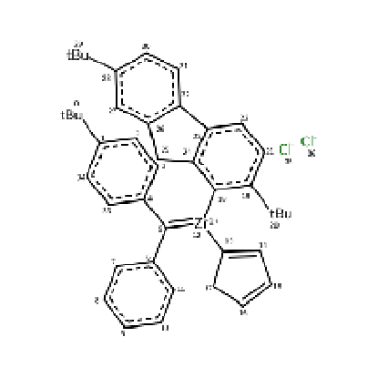 CC(C)(C)c1ccc(/[C](c2ccccc2)=[Zr+2](/[C]2=CC=CC2)[c]2c(C(C)(C)C)ccc3c2Cc2cc(C(C)(C)C)ccc2-3)cc1.[Cl-].[Cl-]